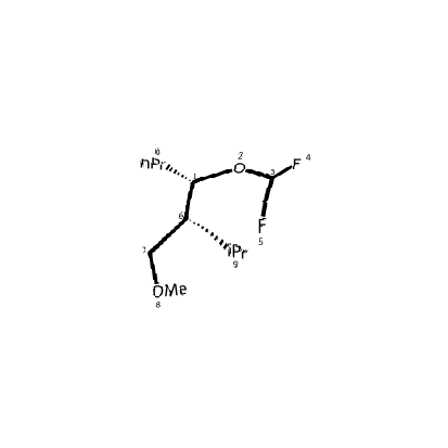 CCC[C@H](OC(F)F)[C@@H](COC)C(C)C